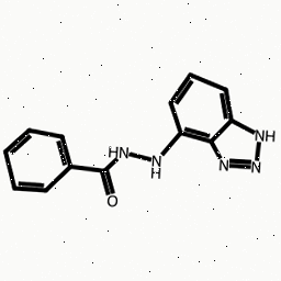 O=C(NNc1cccc2[nH]nnc12)c1ccccc1